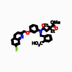 CCC(CC)(CC(=O)N(Cc1ccccc1C(=O)O)c1cccc(OCc2ccc3ccc(F)cc3n2)c1)C(=O)OC